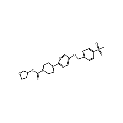 CS(=O)(=O)c1ccc(COc2cnc(N3CCN(C(=O)OC4CCOC4)CC3)nc2)cc1